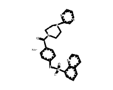 O=C(c1ccc([N-]S(=O)(=O)c2cccc3cccnc23)cc1)N1CCN(c2cnccn2)CC1.[Na+]